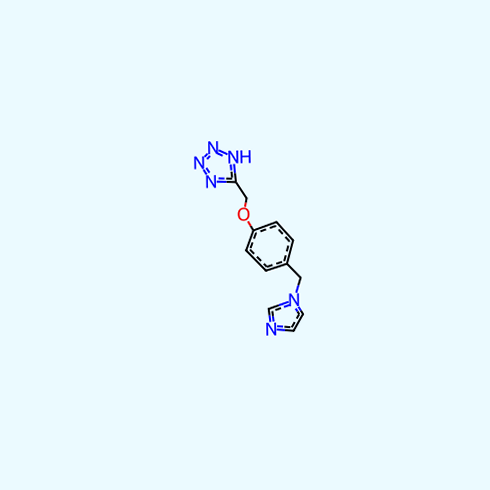 c1cn(Cc2ccc(OCc3nnn[nH]3)cc2)cn1